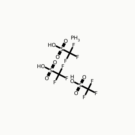 O=S(=O)(O)C(F)(F)F.O=S(=O)(O)C(F)(F)F.O=S(=O)(O)C(F)(F)F.P